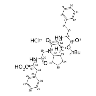 CCCCOC(=O)C(CCc1ccccc1)N[C@@H](C)C(=O)N(CC(=O)N[C@@H](Cc1ccccc1)C(=O)O)C1CCCC1.Cl